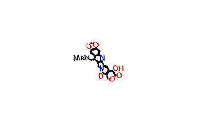 CNCc1c2c(nc3cc4c(cc13)OCO4)-c1cc3c(c(=O)n1C2)COC(=O)C3O